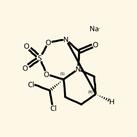 O=C1N2OS(=O)(=O)O[C@]3(C(Cl)Cl)CC[C@@H]2CN13.[Na]